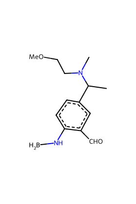 BNc1ccc(C(C)N(C)CCOC)cc1C=O